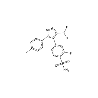 Cc1ccc(-c2noc(C(F)F)c2-c2ccc(S(N)(=O)=O)c(F)c2)cc1